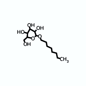 CCCCCCCCOC1OC(CO)C(O)C(O)C1O